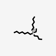 CCCCCCC[PH](CC)(CCCC)CCCCCC